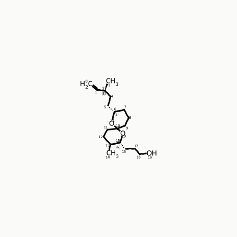 C=C[C@@H](C)CC[C@@H]1CCCC2(CCC(C)[C@@H](CCCO)O2)O1